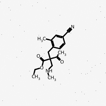 CCOC(=O)C(CNC)(Cc1ccc(C#N)cc1C)C(C)=O